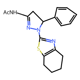 CC(=O)NC1=NN(c2nc3c(s2)CCCC3)C(c2ccccc2)C1